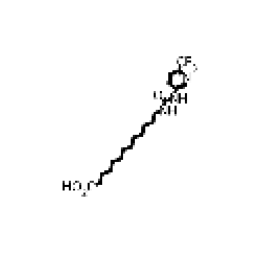 O=C(O)CCCCCCCCCCCCNC(=O)Nc1ccc(C(F)(F)F)nc1